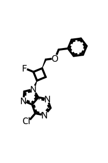 FC1[C@@H](COCc2ccccc2)C[C@H]1n1cnc2c(Cl)ncnc21